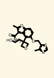 Cc1ncsc1COc1ccc2oc(C)c(C(N)=O)c2c1C1(CCO)COC1